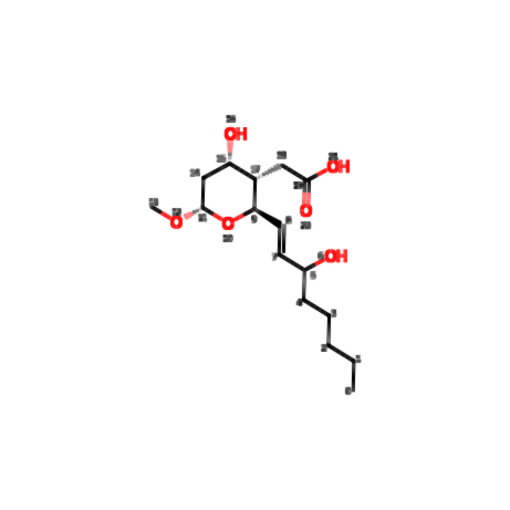 CCCCCC(O)C=C[C@H]1O[C@H](OC)C[C@H](O)[C@@H]1CC(=O)O